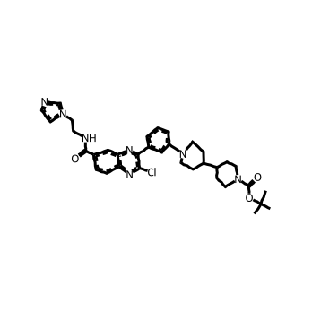 CC(C)(C)OC(=O)N1CCC(C2CCN(c3cccc(-c4nc5cc(C(=O)NCCn6ccnc6)ccc5nc4Cl)c3)CC2)CC1